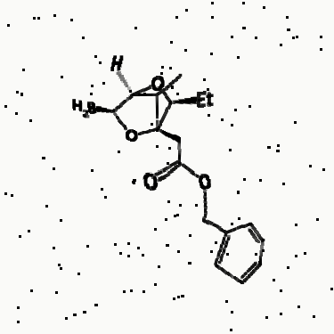 B[C@@H]1O[C@]2(CC(=O)OCc3ccccc3)C(C)[C@@H]1O[C@H]2CC